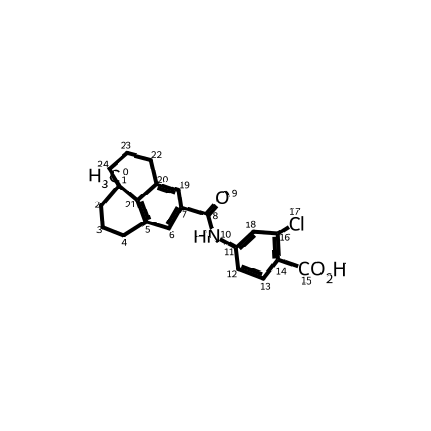 CC12CCCc3cc(C(=O)Nc4ccc(C(=O)O)c(Cl)c4)cc(c31)CCC2